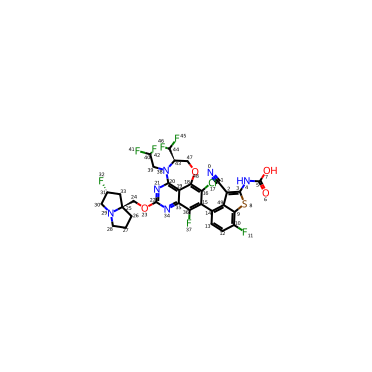 N#Cc1c(NC(=O)O)sc2c(F)ccc(-c3c(Cl)c4c5c(nc(OC[C@@]67CCCN6C[C@H](F)C7)nc5c3F)N(CC(F)F)[C@@H](C(F)F)CO4)c12